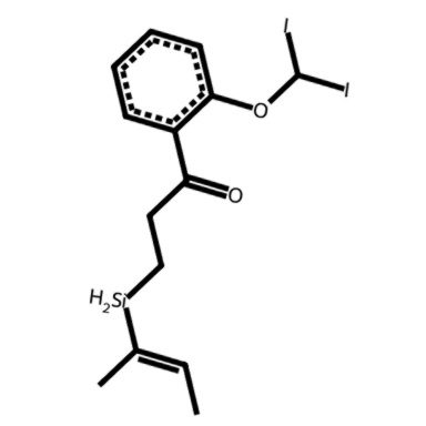 CC=C(C)[SiH2]CCC(=O)c1ccccc1OC(I)I